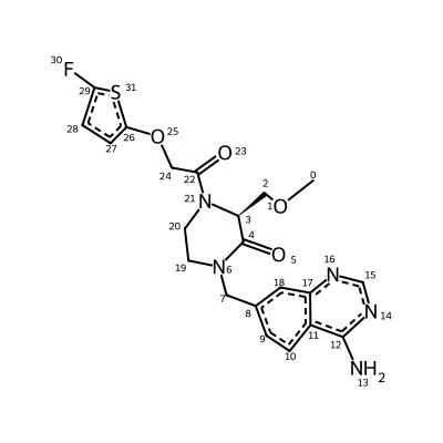 COC[C@H]1C(=O)N(Cc2ccc3c(N)ncnc3c2)CCN1C(=O)COc1ccc(F)s1